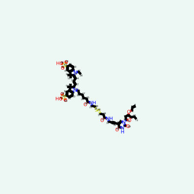 C=CCOC1CC(n2cc(C#CCNC(=O)CCSSCCNC(=O)CCCCC[N+]3=C(/C=C/C=C4/N(CC)c5ccc(S(=O)(=O)O)cc5C4(C)C)C(C)(C)c4cc(S(=O)(=O)O)ccc43)c(=O)[nH]c2=O)OC1CC